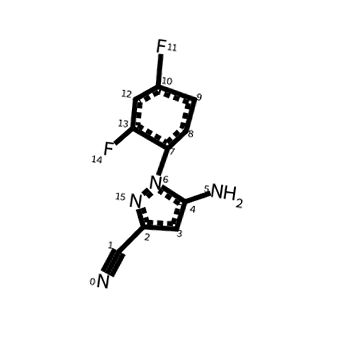 N#Cc1cc(N)n(-c2ccc(F)cc2F)n1